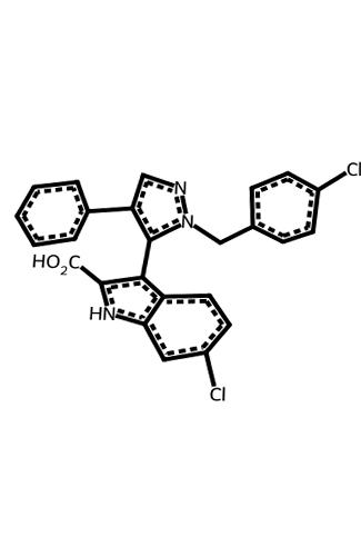 O=C(O)c1[nH]c2cc(Cl)ccc2c1-c1c(-c2ccccc2)cnn1Cc1ccc(Cl)cc1